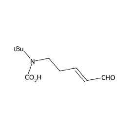 CC(C)(C)N(CCC=CC=O)C(=O)O